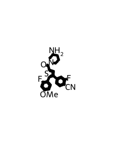 COc1ccc(-c2sc(C(=O)N3CCCC(N)C3)cc2-c2ccc(C#N)c(F)c2)c(F)c1